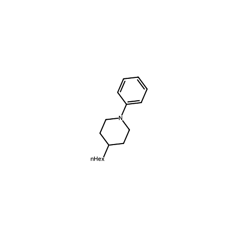 CCCCCCC1CCN(c2ccccc2)CC1